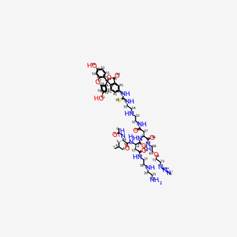 CC(=O)N[C@@H](CC(C)C)C(=O)N[C@H](CC(=O)NCCNCCN)C(=O)N[C@@H](CC(=O)NCCNCCNC(=S)Nc1ccc2c(c1)C(=O)OC21c2ccc(O)cc2Oc2cc(O)ccc21)C(=O)NCCOCCN=[N+]=[N-]